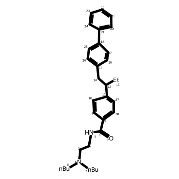 CCCCN(CCCC)CCNC(=O)c1ccc(C(CC)Cc2ccc(-c3ccccc3)cc2)cc1